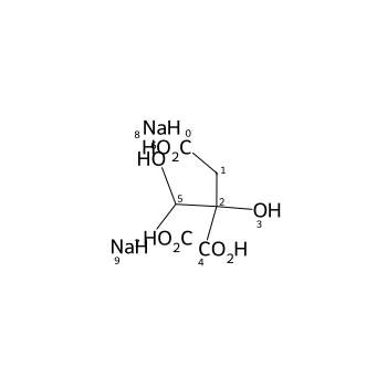 O=C(O)CC(O)(C(=O)O)C(O)C(=O)O.[NaH].[NaH]